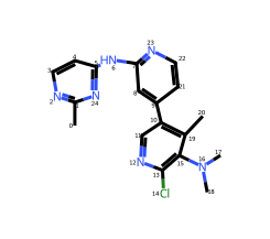 Cc1nccc(Nc2cc(-c3cnc(Cl)c(N(C)C)c3C)ccn2)n1